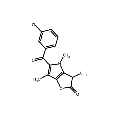 Cc1c2c(n(C)c1C(=O)c1cccc(Cl)c1)C(C)C(=O)O2